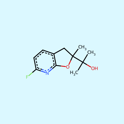 CC(C)(O)C1(C)Cc2ccc(F)nc2O1